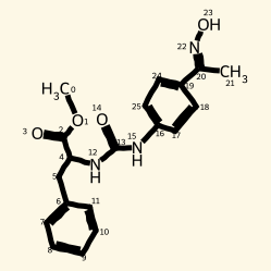 COC(=O)C(Cc1ccccc1)NC(=O)Nc1ccc(C(C)=NO)cc1